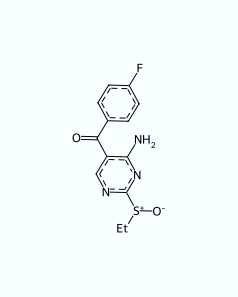 CC[S+]([O-])c1ncc(C(=O)c2ccc(F)cc2)c(N)n1